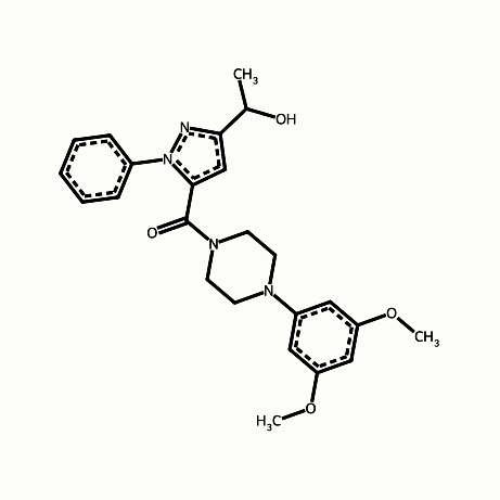 COc1cc(OC)cc(N2CCN(C(=O)c3cc(C(C)O)nn3-c3ccccc3)CC2)c1